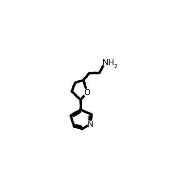 NCCC1CCC(c2cccnc2)O1